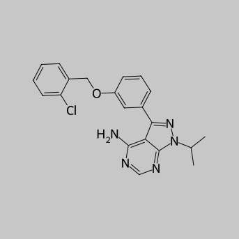 CC(C)n1nc(-c2cccc(OCc3ccccc3Cl)c2)c2c(N)ncnc21